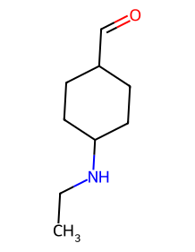 CCNC1CCC(C=O)CC1